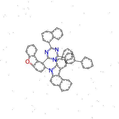 c1ccc(-c2ccc(-c3nc(-c4cccc5ccccc45)nc(-c4c(-n5c6cc7ccccc7cc6c6c7ccccc7ccc65)ccc5oc6ccccc6c45)n3)cc2)cc1